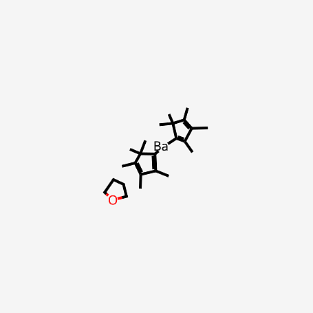 C1CCOC1.CC1=C(C)C(C)(C)[C]([Ba][C]2=C(C)C(C)=C(C)C2(C)C)=C1C